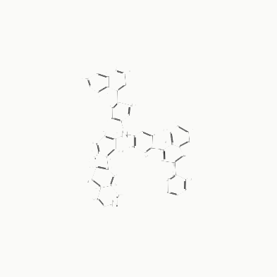 c1ccc(-c2cc(-c3ccc(N(c4ccc(-c5cccc6ccccc56)cc4)c4ccc5oc6cc7ccncc7cc6c5c4)cc3)c3ccccc3c2)cc1